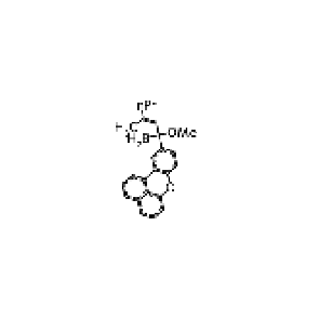 BC(C=C(C)CCC)(OC)c1ccc2c(c1)-c1cccc3cccc(c13)O2